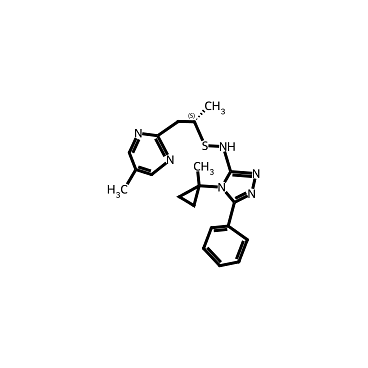 Cc1cnc(C[C@H](C)SNc2nnc(-c3ccccc3)n2C2(C)CC2)nc1